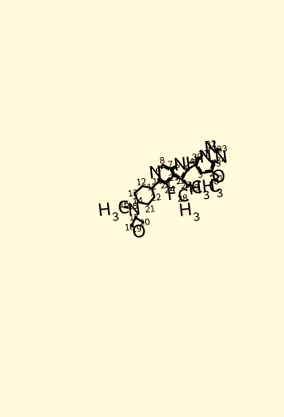 COc1cc(-c2[nH]c3cnc(C4CCC(N(C)C5COC5)CC4)c(F)c3c2C(C)C)cn2ncnc12